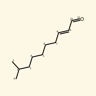 CC(C)CCCCC/C=C/[C]=O